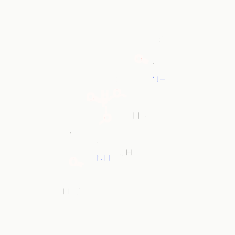 C=CC(=O)NC(CC)(CC)CO[PH](=O)OCC(CC)(CC)NC(=O)C=C